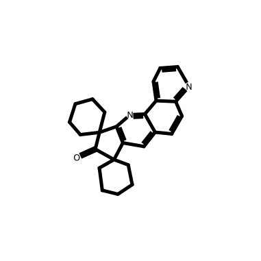 O=C1C2(CCCCC2)c2cc3ccc4ncccc4c3nc2C12CCCCC2